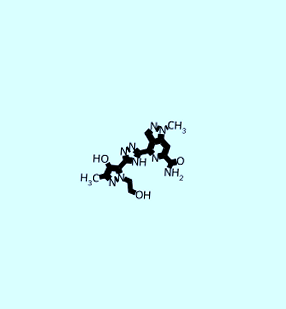 Cc1nn(CCO)c(-c2nnc(-c3nc(C(N)=O)cc4c3cnn4C)[nH]2)c1O